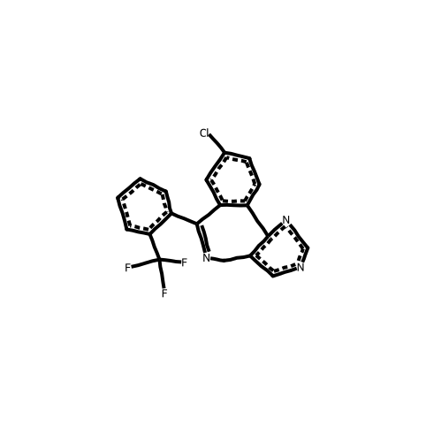 FC(F)(F)c1ccccc1C1=NCc2cncnc2-c2ccc(Cl)cc21